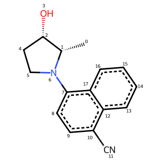 C[C@H]1[C@@H](O)CCN1c1ccc(C#N)c2ccccc12